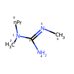 [CH2]CCN(C)C(N)=NC